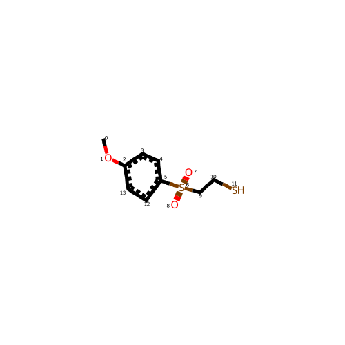 COc1ccc(S(=O)(=O)CCS)cc1